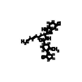 CC/C=C/CC[C@H](NC(=O)c1ccc(N2CCCC2=O)c(C)c1)c1nc2cc(Cl)ccc2[nH]1